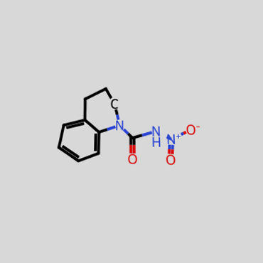 O=C(N[N+](=O)[O-])N1CCCc2ccccc21